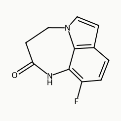 O=C1CCn2ccc3ccc(F)c(c32)N1